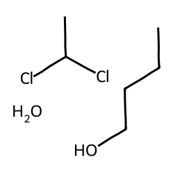 CC(Cl)Cl.CCCCO.O